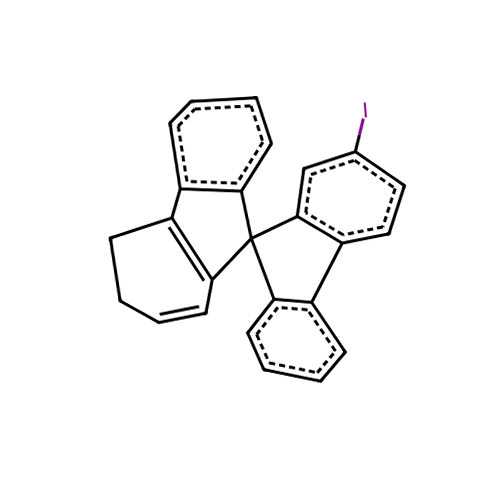 Ic1ccc2c(c1)C1(C3=C(CCC=C3)c3ccccc31)c1ccccc1-2